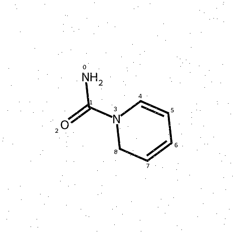 NC(=O)N1C=CC=CC1